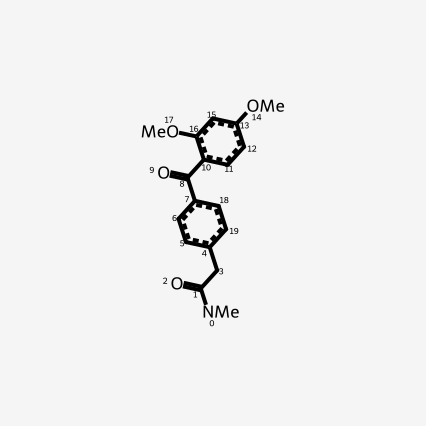 CNC(=O)Cc1ccc(C(=O)c2ccc(OC)cc2OC)cc1